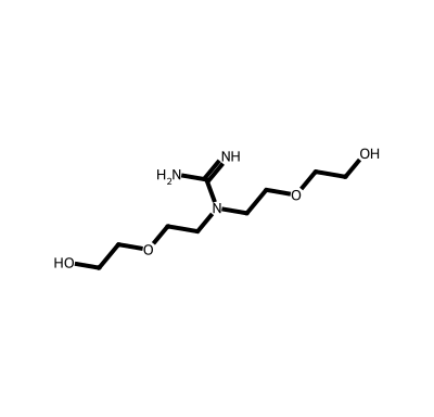 N=C(N)N(CCOCCO)CCOCCO